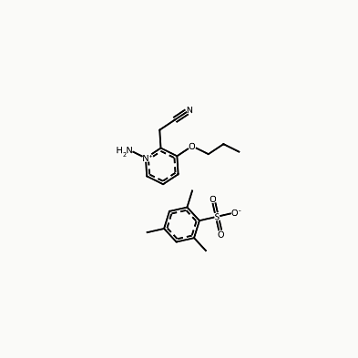 CCCOc1ccc[n+](N)c1CC#N.Cc1cc(C)c(S(=O)(=O)[O-])c(C)c1